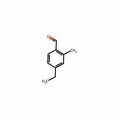 CCc1ccc([C]=O)c(C)c1